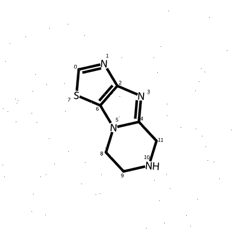 c1nc2nc3n(c2s1)CCNC3